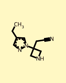 CCc1cnn(C2(CC#N)CNC2)c1